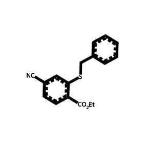 CCOC(=O)c1ccc(C#N)cc1SCc1ccccc1